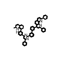 CC1C=CC2=CCCC(c3cccc(-c4cc(-c5ccccc5)nc(-c5cc#cc(-c6cccc(-c7cc(-c8ccccc8)nc8c7ccc7ccc(C9C=CC=CC9)nc78)c6)c5)n4)c3)=C2N1